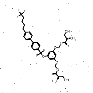 C=C(CO)C(=O)OCOc1cc(OCOC(=O)C(=C)CO)cc(OC(F)(F)c2ccc(-c3ccc(CCCCC(F)(F)F)cc3)cc2)c1